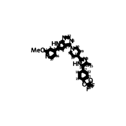 COc1cc(-c2cc3c(N4CCC(c5nc(C)c(-c6ccc7c(c6)OC(F)(F)O7)[nH]5)CC4)ncnc3[nH]2)ccn1